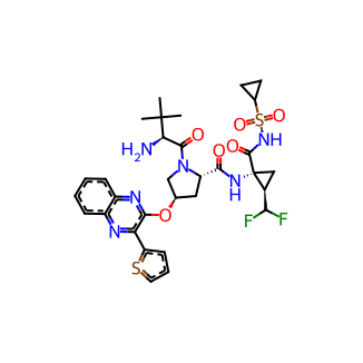 CC(C)(C)[C@H](N)C(=O)N1C[C@H](Oc2nc3ccccc3nc2-c2cccs2)C[C@H]1C(=O)N[C@]1(C(=O)NS(=O)(=O)C2CC2)C[C@H]1C(F)F